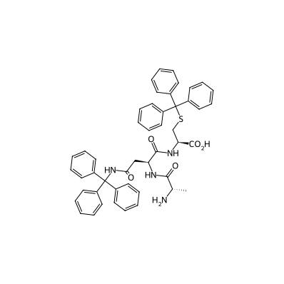 C[C@H](N)C(=O)N[C@@H](CC(=O)NC(c1ccccc1)(c1ccccc1)c1ccccc1)C(=O)N[C@@H](CSC(c1ccccc1)(c1ccccc1)c1ccccc1)C(=O)O